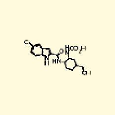 O=C(O)N[C@@H]1C[C@@H](CO)CC[C@@H]1NC(=O)c1cc2cc(Cl)ccc2[nH]1